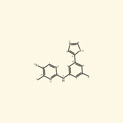 Cc1cc(Nc2ncc(F)c(C)n2)cc(-c2cncs2)c1